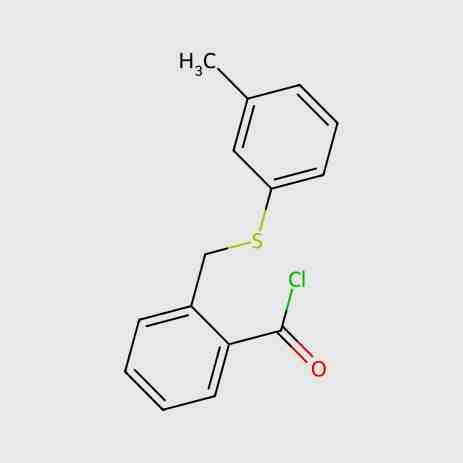 Cc1cccc(SCc2ccccc2C(=O)Cl)c1